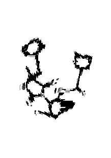 CC1(Cc2ccccc2)NC(=O)N(c2c(Cl)cccc2NC(=O)c2ccccn2)C1=O